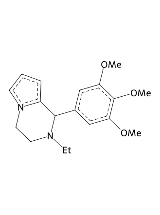 CCN1CCn2cccc2C1c1cc(OC)c(OC)c(OC)c1